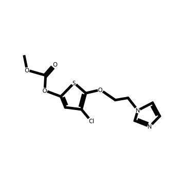 COC(=O)Oc1cc(Cl)c(OCCn2ccnc2)s1